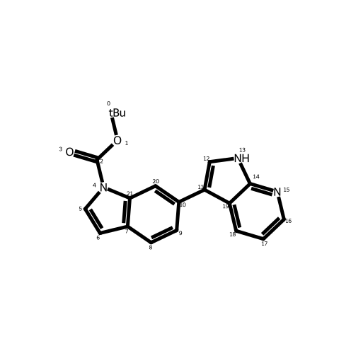 CC(C)(C)OC(=O)n1ccc2ccc(-c3c[nH]c4ncccc34)cc21